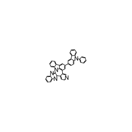 c1ccc(-n2c3ccccc3c3cc(-c4cc5c6c(c4)c4ccccc4n6-c4nc6ccccc6nc4-c4ccncc4-5)ccc32)cc1